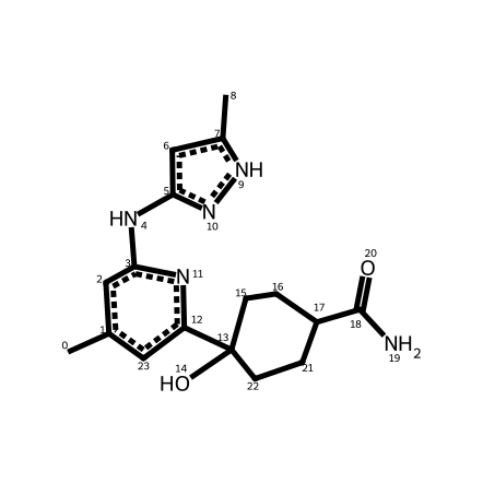 Cc1cc(Nc2cc(C)[nH]n2)nc(C2(O)CCC(C(N)=O)CC2)c1